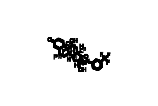 C[C@]12C=CC(=O)C=C1[C@@H](F)C[C@H]1[C@@H]3C[C@H]4CN(c5cccc(C(F)(F)F)c5)O[C@@]4(C(=O)CO)[C@@]3(C)C[C@H](O)[C@@]12F